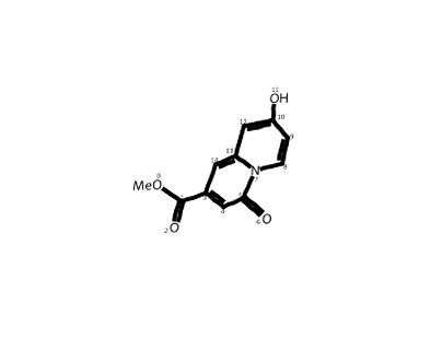 COC(=O)c1cc(=O)n2ccc(O)cc2c1